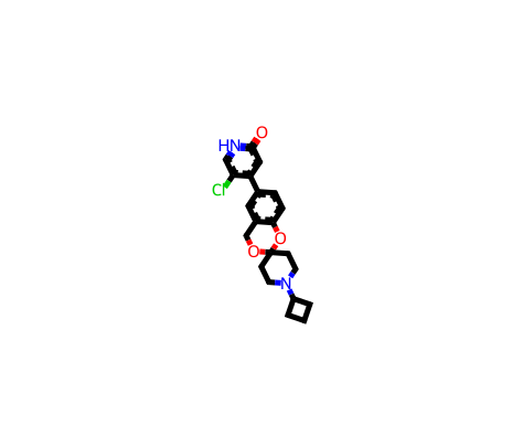 O=c1cc(-c2ccc3c(c2)COC2(CCN(C4CCC4)CC2)O3)c(Cl)c[nH]1